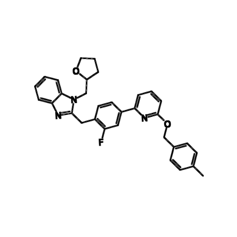 Cc1ccc(COc2cccc(-c3ccc(Cc4nc5ccccc5n4CC4CCCO4)c(F)c3)n2)cc1